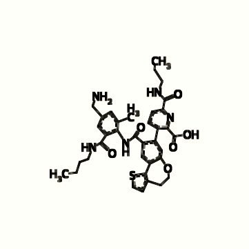 CCCCNC(=O)c1cc(CN)cc(C)c1NC(=O)c1cc2c(cc1-c1ccc(C(=O)NCCC)nc1C(=O)O)OCCc1ccsc1-2